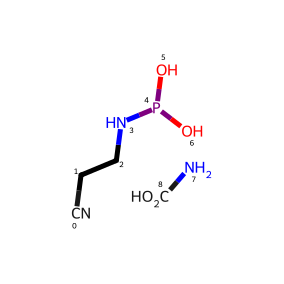 N#CCCNP(O)O.NC(=O)O